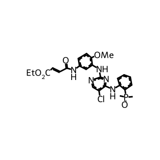 CCOC(=O)/C=C/C(=O)Nc1ccc(OC)c(Nc2ncc(Cl)c(Nc3ccccc3P(C)(C)=O)n2)c1